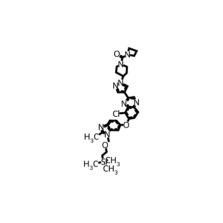 Cc1nc2ccc(Oc3ccc4ncc(-c5cnn(C6CCN(C(=O)N7CCC7)CC6)c5)nc4c3Cl)cc2n1COCC[Si](C)(C)C